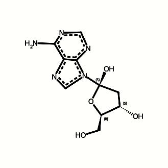 Nc1ncnc2c1ncn2[C@]1(O)C[C@H](O)[C@@H](CO)O1